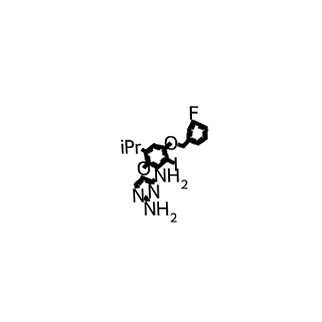 CC(C)c1cc(OCc2cccc(F)c2)c(I)cc1Oc1cnc(N)nc1N